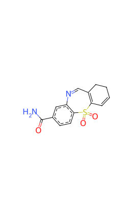 NC(=O)c1ccc2c(c1)N=CC1=C(C=CCC1)S2(=O)=O